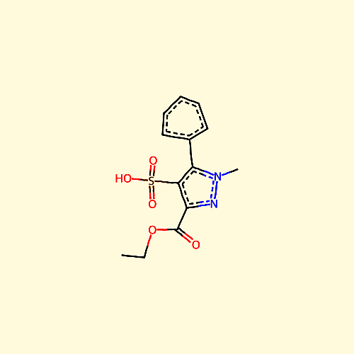 CCOC(=O)c1nn(C)c(-c2ccccc2)c1S(=O)(=O)O